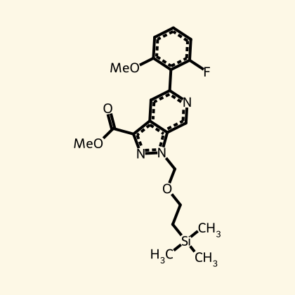 COC(=O)c1nn(COCC[Si](C)(C)C)c2cnc(-c3c(F)cccc3OC)cc12